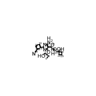 CCC(CO)Oc1nc(-c2cccc(C#N)c2)nc(N)c1C(=O)NOCC1(O)CCC1